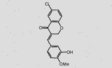 COc1ccc(/C=C2\COc3ccc(Cl)cc3C2=O)cc1O